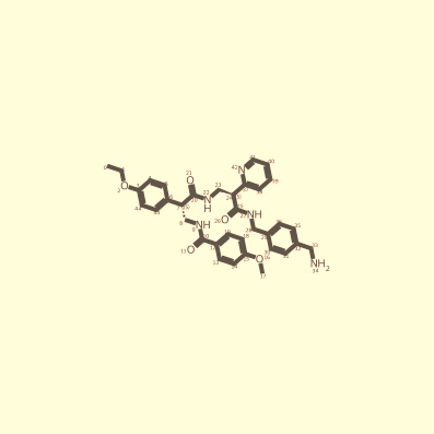 CCOc1ccc([C@@H](CNC(=O)c2ccc(OC)cc2)C(=O)NC[C@H](C(=O)NCc2ccc(CN)cc2)c2ccccn2)cc1